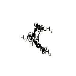 BC(=O)OCc1ccc(NC(=O)CNC(=O)C(NCCCCCN2C(=O)CC(SC(C)C)C2=O)C(C)C)cc1